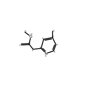 C=C(Cc1cc(C)ccn1)OC